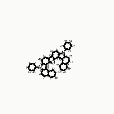 c1ccc(-n2c3ccc4ccccc4c3c3c4oc5c(ccc6c5c5c7ccccc7ccc5n6-c5ccccc5)c4ccc32)cc1